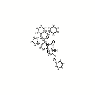 O=C(COc1ccccc1)N[C@@H]1C(=O)N2C(C(=O)OC(c3ccccc3)c3ccccc3)=C(N3CCCC3)CS[C@@H]12